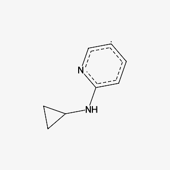 [c]1ccc(NC2CC2)nc1